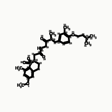 COc1cc(C)c2c(c1)CCN(CC(=O)NCC(=O)N(C)Cc1ccc(OCCN(C)C)c(C)c1)S2(=O)=O